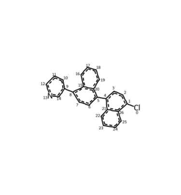 Clc1ccc(-c2ccc(-c3cccnc3)c3ccccc23)c2ccccc12